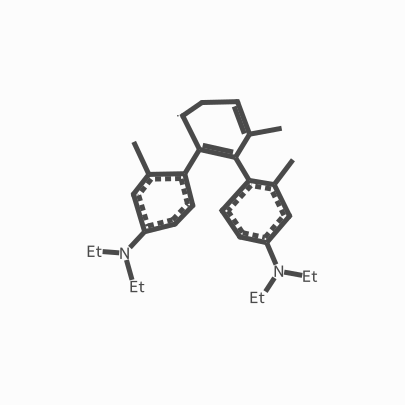 CCN(CC)c1ccc(C2=C(c3ccc(N(CC)CC)cc3C)C(C)=CC[CH]2)c(C)c1